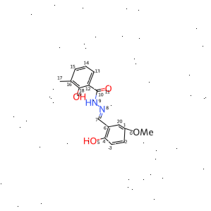 COc1ccc(O)c(C=NNC(=O)c2cccc(C)c2O)c1